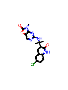 Cn1c(=O)oc2cnc(NC(C)(C)c3cc4cc(Cl)ccc4[nH]c3=O)nc21